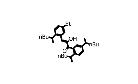 CCCCC(C)c1ccc(C(C)CCCC)c(C(=O)C(O)=Cc2cc(CC)ccc2C(C)CCCC)c1